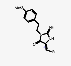 COc1ccc(CCN2C(=N)N/C(=C\C(C)C)C2=O)cc1